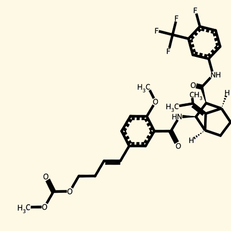 COC(=O)OCC/C=C/c1ccc(OC)c(C(=O)N[C@H]2[C@@H](C(=O)Nc3ccc(F)c(C(F)(F)F)c3)[C@H]3CC[C@@H]2C3=C(C)C)c1